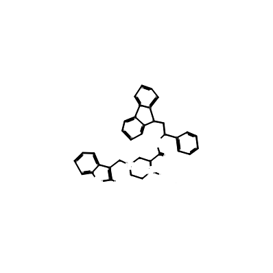 CCc1oc2ccccc2c1CN1CCN(C(=O)O)C(C(=O)OC(CC2c3ccccc3-c3ccccc32)c2ccccc2)C1